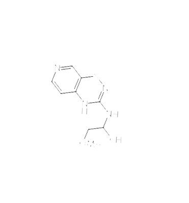 COCC(C)NC1=NSc2cnccc2N1